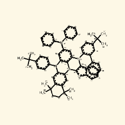 CC(C)(C)c1ccc(N2c3cc4c(cc3B3c5oc6ccccc6c5N(c5ccc(C(C)(C)C)cc5-c5ccccc5)c5cc(N(c6ccccc6)c6ccccc6)cc2c53)C(C)(C)CCC4(C)C)cc1